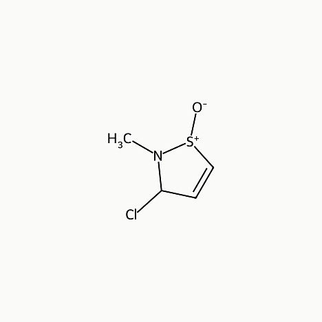 CN1C(Cl)C=C[S+]1[O-]